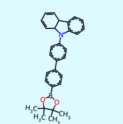 CC1(C)OB(c2ccc(-c3ccc(N4c5ccccc5C5C=CC=CC54)cc3)cc2)OC1(C)C